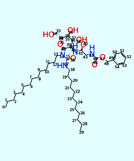 CCCCCCCCCCCCCCN(C(=O)NCCCCCCCCCCCC)[C@@H]1O[C@H](CO)[C@@H](O)[C@H](O)[C@H]1NC(=O)CNC(=O)OCc1ccccc1